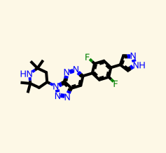 CC1(C)CC(n2nnc3cc(-c4cc(F)c(-c5cn[nH]c5)cc4F)nnc32)CC(C)(C)N1